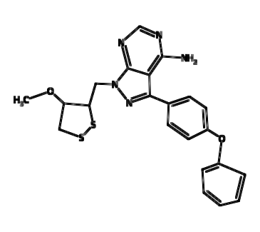 COC1CSSC1Cn1nc(-c2ccc(Oc3ccccc3)cc2)c2c(N)ncnc21